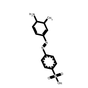 CC1C=C(/N=N/c2ccc(S(=O)(=O)O)cc2)C=CC1N